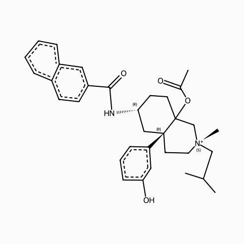 CC(=O)OC12CC[C@@H](NC(=O)c3ccc4ccccc4c3)C[C@@]1(c1cccc(O)c1)CC[N@@+](C)(CC(C)C)C2